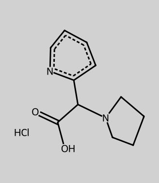 Cl.O=C(O)C(c1ccccn1)N1CCCC1